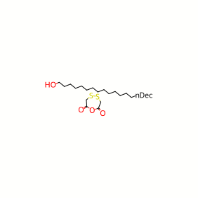 CCCCCCCCCCCCCCCCCCCCCCCCO.O=C1CSSCC(=O)O1